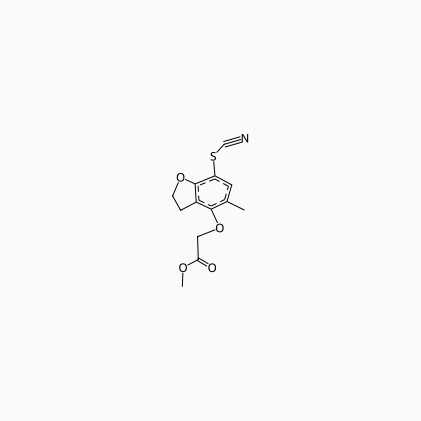 COC(=O)COc1c(C)cc(SC#N)c2c1CCO2